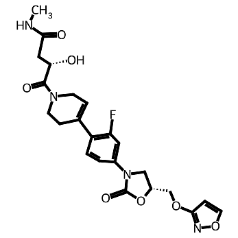 CNC(=O)C[C@H](O)C(=O)N1CC=C(c2ccc(N3C[C@H](COc4ccon4)OC3=O)cc2F)CC1